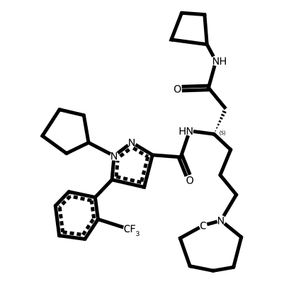 O=C(C[C@H](CCCN1CCCCCC1)NC(=O)c1cc(-c2ccccc2C(F)(F)F)n(C2CCCC2)n1)NC1CCC1